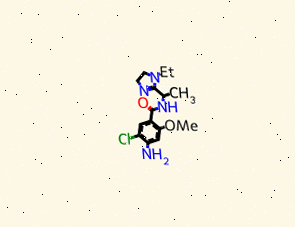 CCN1CCN=C1C(C)NC(=O)c1cc(Cl)c(N)cc1OC